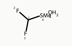 CSC(F)F.O